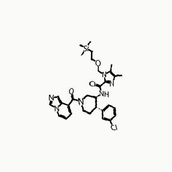 Cc1nc(C(=O)N[C@@H]2CN(C(=O)c3cccn4cncc34)CC[C@H]2c2cccc(Cl)c2)n(COCC[Si](C)(C)C)c1C